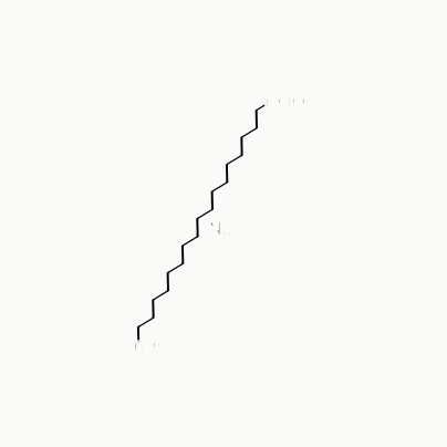 CCCCCCCCCCCCCCCCCCCCCCCCCCCC(=O)[O-].[Na+]